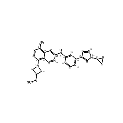 CC(C)c1ccc(N2CC(CC#N)C2)c2cnc(Nc3ccnc(-c4cnn(C5CC5)c4)n3)cc12